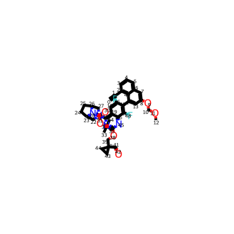 C#Cc1cccc2cc(OCOC)cc(-c3c(F)cc4c(N5CC6CCC(C5)N6C(=O)OC(C)(C)C)nc(OCC5(C=O)CC5)nc4c3F)c12